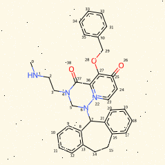 CNCCN1CN(C2c3ccccc3CCc3ccccc32)n2ccc(=O)c(OCc3ccccc3)c2C1=O